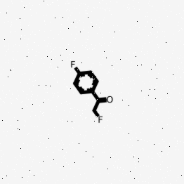 O=C(CF)c1ccc(F)cc1